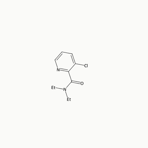 CCN(CC)C(=O)c1ncccc1Cl